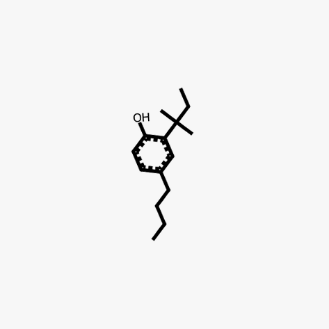 CCCCc1ccc(O)c(C(C)(C)CC)c1